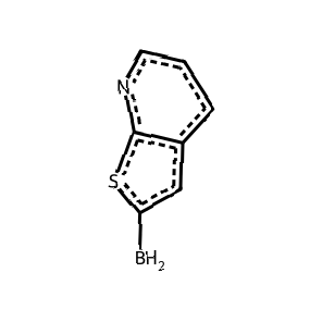 Bc1cc2cccnc2s1